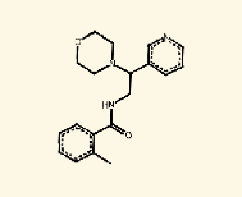 Cc1ccccc1C(=O)NCC(c1cccnc1)N1CCOCC1